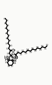 CCCCCCCCCCCCCC(=O)CC1(OC(=O)CCCCCCCCCCCCC)N[C@@H]2CCCC[C@H]2N1